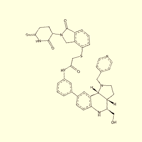 O=C1CCC(N2Cc3c(SCC(=O)Nc4cccc(-c5ccc6c(c5)[C@H]5[C@H](CCN5Cc5ccncc5)[C@@H](CO)N6)c4)cccc3C2=O)C(=O)N1